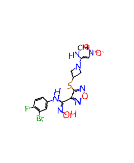 CNC(=C[N+](=O)[O-])N1CC(Sc2nonc2C(=NO)Nc2ccc(F)c(Br)c2)C1